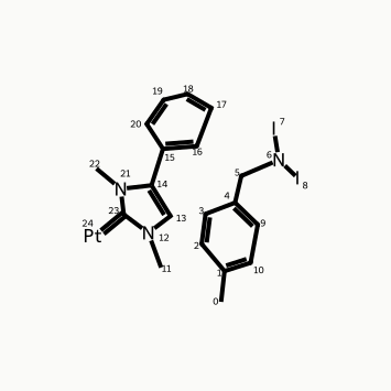 Cc1ccc(CN(I)I)cc1.Cn1cc(-c2ccccc2)n(C)[c]1=[Pt]